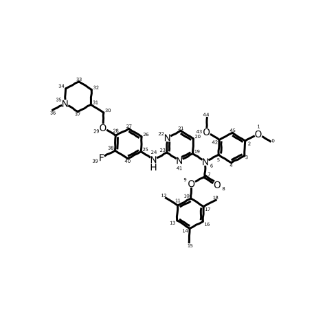 COc1ccc(N(C(=O)Oc2c(C)cc(C)cc2C)c2ccnc(Nc3ccc(OCC4CCCN(C)C4)c(F)c3)n2)c(OC)c1